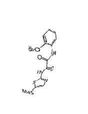 CSc1cnc(NC(=O)C(=O)Nc2ccccc2OCC(C)C)s1